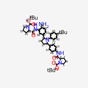 CC(C)(C)OC(=O)N1CCCC1C(=O)Nc1ccc(C2CCC(c3ccc(N)c(NC(=O)[C@@H]4CCCN4C(=O)OC(C)(C)C)c3)N2c2ccc(C(C)(C)C)cc2)cc1